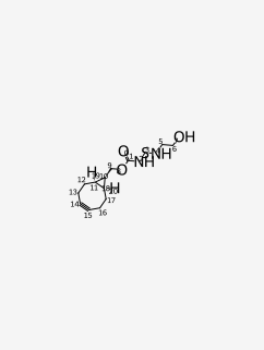 O=C(NSNCCO)OC[C@@H]1[C@@H]2CCC#CCC[C@@H]21